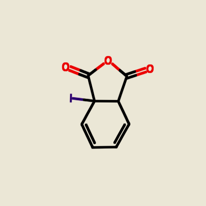 O=C1OC(=O)C2(I)C=CC=CC12